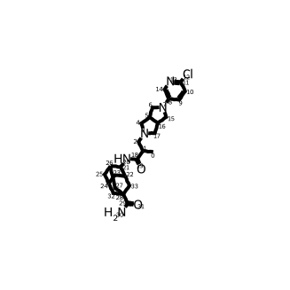 CC(CN1CC2CN(c3ccc(Cl)nc3)CC2C1)C(=O)NC1C2CC3CC1CC(C(N)=O)(C3)C2